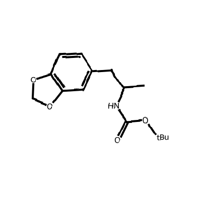 CC(Cc1ccc2c(c1)OCO2)NC(=O)OC(C)(C)C